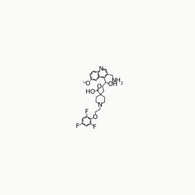 COc1ccc2ncc(CN)c([C@@H](O)CCC3(C(=O)O)CCN(CCOc4c(F)cc(F)cc4F)CC3)c2c1